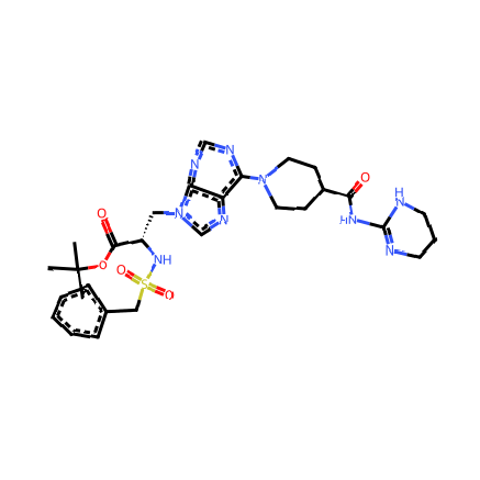 CC(C)(C)OC(=O)[C@H](Cn1cnc2c(N3CCC(C(=O)NC4=NCCCN4)CC3)ncnc21)NS(=O)(=O)Cc1ccccc1